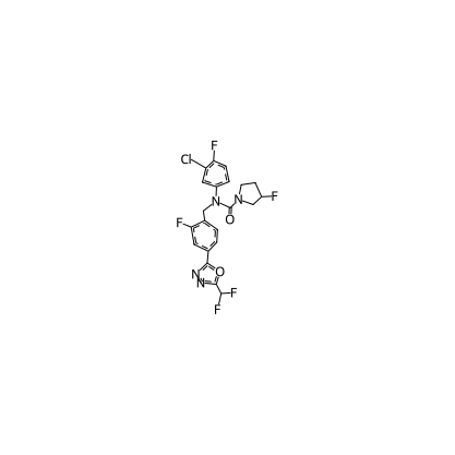 O=C(N1CCC(F)C1)N(Cc1ccc(-c2nnc(C(F)F)o2)cc1F)c1ccc(F)c(Cl)c1